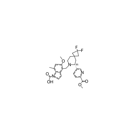 COC(=O)c1ccc([C@H]2CC3(CCN2Cc2c(OC)cc(C)c4c2ccn4C(=O)O)CC(F)(F)C3)cn1